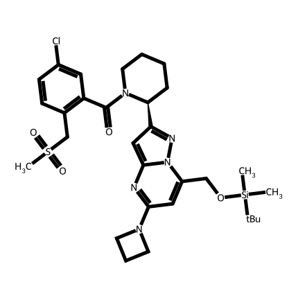 CC(C)(C)[Si](C)(C)OCc1cc(N2CCC2)nc2cc([C@@H]3CCCCN3C(=O)c3cc(Cl)ccc3CS(C)(=O)=O)nn12